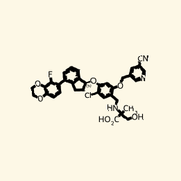 CC(CO)(NCc1cc(Cl)c(O[C@H]2CCc3c(-c4ccc5c(c4F)OCCO5)cccc32)cc1OCc1cncc(C#N)c1)C(=O)O